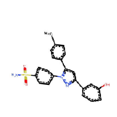 COc1ccc(-c2cc(-c3cccc(O)c3)nn2-c2ccc(S(N)(=O)=O)cc2)cc1